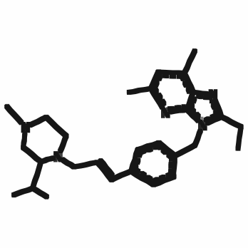 CCc1nc2c(C)cc(C)nc2n1Cc1ccc(C=CCN2CCN(C)CC2C(C)C)cc1